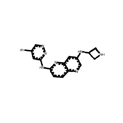 CC(C)c1cnnc(Nc2ccc3ncc(NC4CNC4)cc3n2)c1